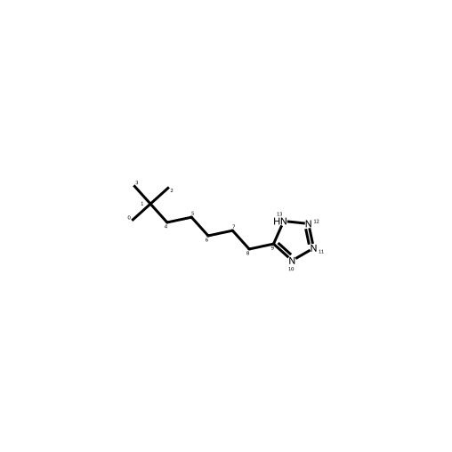 CC(C)(C)CCCCCc1nnn[nH]1